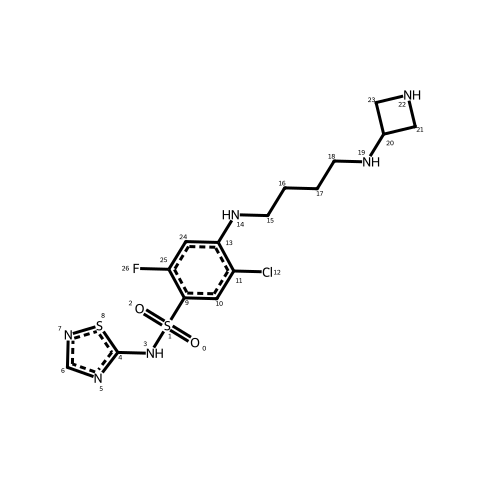 O=S(=O)(Nc1ncns1)c1cc(Cl)c(NCCCCNC2CNC2)cc1F